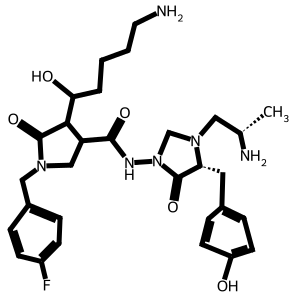 C[C@H](N)CN1CN(NC(=O)C2CN(Cc3ccc(F)cc3)C(=O)C2C(O)CCCCN)C(=O)[C@H]1Cc1ccc(O)cc1